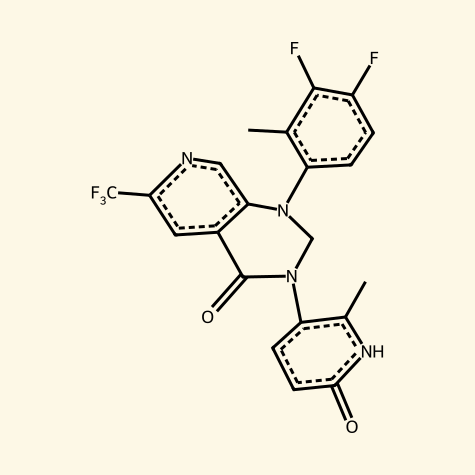 Cc1[nH]c(=O)ccc1N1CN(c2ccc(F)c(F)c2C)c2cnc(C(F)(F)F)cc2C1=O